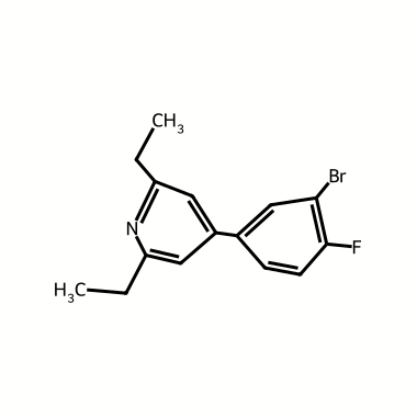 CCc1cc(-c2ccc(F)c(Br)c2)cc(CC)n1